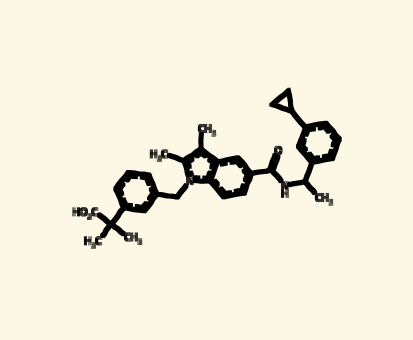 Cc1c(C)n(Cc2cccc(C(C)(C)C(=O)O)c2)c2ccc(C(=O)NC(C)c3cccc(C4CC4)c3)cc12